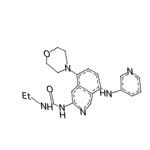 CCNC(=O)Nc1cc2c(N3CCOCC3)ccc(Nc3cccnc3)c2cn1